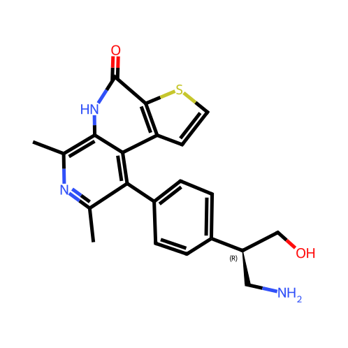 Cc1nc(C)c2[nH]c(=O)c3sccc3c2c1-c1ccc([C@H](CN)CO)cc1